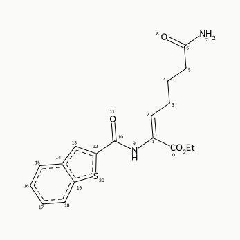 CCOC(=O)C(=CCCCC(N)=O)NC(=O)c1cc2ccccc2s1